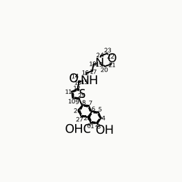 O=Cc1c(O)ccc2cc(-c3ccc(C(=O)NCCCN4CCOCC4)s3)ccc12